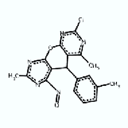 Cc1cccc(C2c3c(C)nc(Cl)nc3Oc3nc(C)nc(N=O)c32)c1